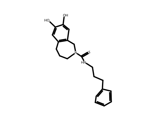 Oc1cc2c(cc1O)CN(C(=S)NCCCc1ccccc1)CCC2